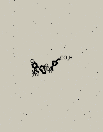 O=C(O)/C=C/c1ccc(-c2cnc([C@@H]3CCc4cc(-c5cc(Cl)ccc5-n5cnnn5)cc(=O)n43)[nH]2)cc1